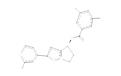 N#Cc1cc(C(=O)N[C@H]2CCn3nc(-c4ccnc(C(F)(F)F)c4)cc32)cc(C(F)(F)F)c1